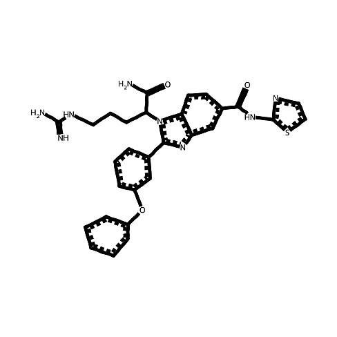 N=C(N)NCCCC(C(N)=O)n1c(-c2cccc(Oc3ccccc3)c2)nc2cc(C(=O)Nc3nccs3)ccc21